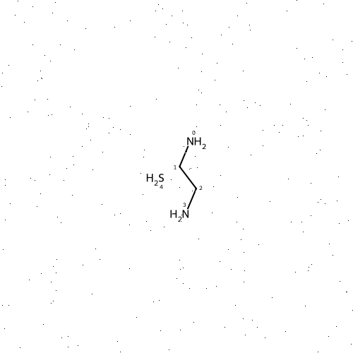 NCCN.S